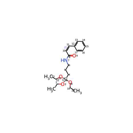 CCO[Si](CCCNC(=O)/C=C\c1ccccc1)(OCC)OCC